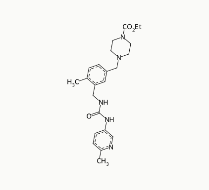 CCOC(=O)N1CCN(Cc2ccc(C)c(CNC(=O)Nc3ccc(C)nc3)c2)CC1